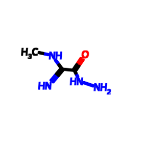 CNC(=N)C(=O)NN